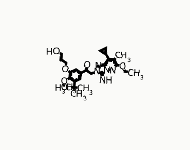 CCOc1nn2c(=N)n(CC(=O)c3cc(OCCCO)c(OC)c(C(C)(C)C)c3)nc2c(C2CC2)c1C